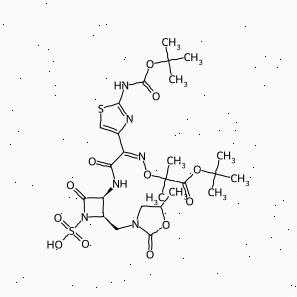 CC1CN(C[C@@H]2[C@H](NC(=O)C(=NOC(C)(C)C(=O)OC(C)(C)C)c3csc(NC(=O)OC(C)(C)C)n3)C(=O)N2S(=O)(=O)O)C(=O)O1